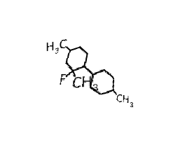 CC1CCC(C2CCC(C)CC2(C)F)CC1